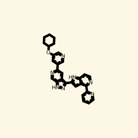 c1ccc(-c2nccc3[nH]c(-c4n[nH]c5cnc(-c6cncc(OC7CCCCC7)c6)cc45)cc23)nc1